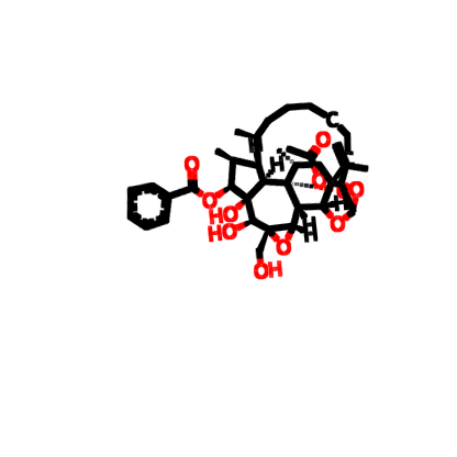 C=C(C)[C@]12C[C@@H](C)[C@@]34O[C@]5(O[C@@H]1[C@@H]3[C@@H]1O[C@]1(CO)[C@@H](O)[C@@]1(O)[C@H]4[C@H]([C@H](C)[C@@H]1OC(=O)c1ccccc1)[C@@H](C)CCCCCC[C@H]5OC(C)=O)O2